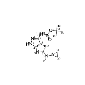 CN(c1nc2[nH]nc(NC(=O)OC(C)(C)C)c2s1)C1CC1